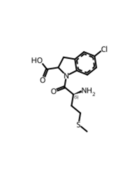 CSCC[C@H](N)C(=O)N1c2ccc(Cl)cc2CC1C(=O)O